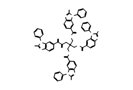 O=C(CC(COC(=O)c1ccc2nc(S)n(-c3ccccc3)c2c1)(COC(=O)c1ccc2nc(S)n(-c3ccccc3)c2c1)COC(=O)c1ccc2nc(S)n(-c3ccccc3)c2c1)C(=O)c1ccc2nc(S)n(-c3ccccc3)c2c1